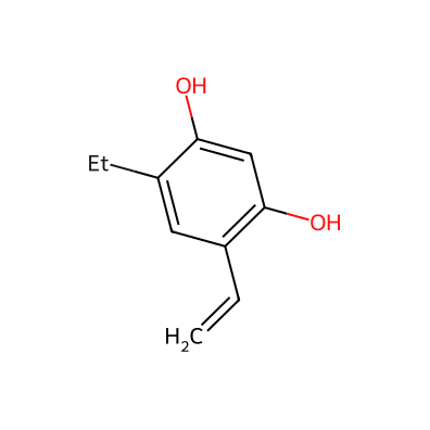 C=Cc1cc(CC)c(O)cc1O